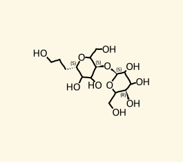 OCCC[C@@H]1OC(CO)[C@@H](O[C@@H]2OC(CO)[C@H](O)C(O)C2O)C(O)C1O